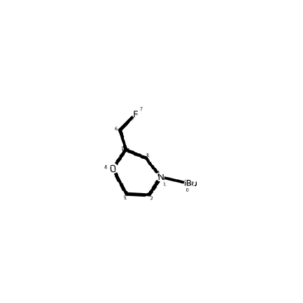 CCC(C)N1CCOC(CF)C1